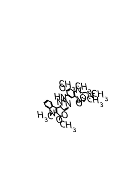 COC(=O)c1c(-c2ccnc(Nc3cc([N+](=O)[O-])c(N(C)CCN(C)C)cc3OC)n2)c2ccccc2n1C